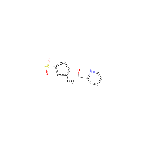 CS(=O)(=O)c1ccc(OCc2ccccn2)c(C(=O)O)c1